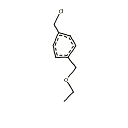 CCOCc1ccc(CCl)cc1